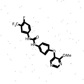 COc1ncncc1Oc1ccc(NC(=O)Nc2ccc(F)c(C(F)(F)F)c2)cc1